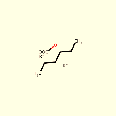 CCCCCC.O=C([O-])[O-].[K+].[K+]